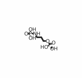 O=P(O)(O)NCCCOP(=O)(O)O